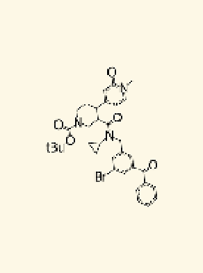 Cn1ccc(C2CCN(C(=O)OC(C)(C)C)CC2C(=O)N(Cc2cc(Br)cc(C(=O)c3ccccc3)c2)C2CC2)cc1=O